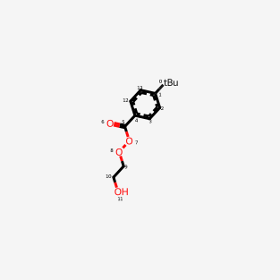 CC(C)(C)c1ccc(C(=O)OOCCO)cc1